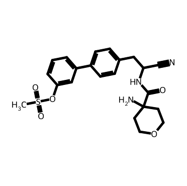 CS(=O)(=O)Oc1cccc(-c2ccc(CC(C#N)NC(=O)C3(N)CCOCC3)cc2)c1